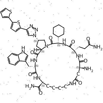 NC(=O)CC[C@@H]1NC(=O)[C@@H](N)CC(=O)NCCCC[C@@H](C(N)=O)NC(=O)[C@H](Cc2c[nH]c3ccccc23)NC(=O)[C@@H]2C[C@H](n3cc(-c4ccc(-c5cccs5)s4)nn3)CN2C(=O)[C@H](C2CCCCC2)NC1=O